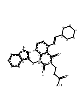 O=C(O)CCn1c(=O)c2c(C=CC3CCCCC3)cccc2n(Cc2c[nH]c3ccccc23)c1=O